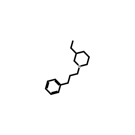 CCC1CCCN(CCCc2ccccc2)C1